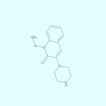 CCCCOn1c(=O)c(N2CCNCC2)cc2ccccc21